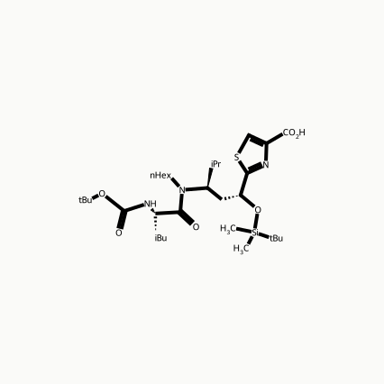 CCCCCCN(C(=O)[C@@H](NC(=O)OC(C)(C)C)[C@@H](C)CC)[C@H](C[C@@H](O[Si](C)(C)C(C)(C)C)c1nc(C(=O)O)cs1)C(C)C